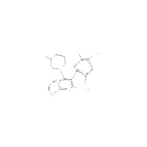 COc1cc(F)c(-c2c(OC)nc3ncnn3c2N2CCCC(C)C2)cc1F